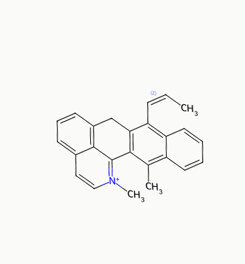 C/C=C\c1c2c(c(C)c3ccccc13)-c1c3c(cccc3cc[n+]1C)C2